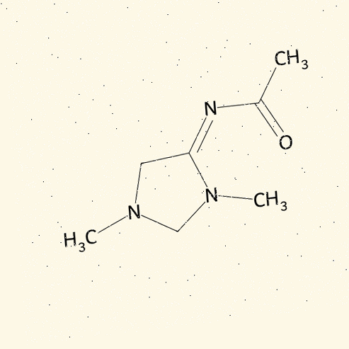 CC(=O)N=C1CN(C)CN1C